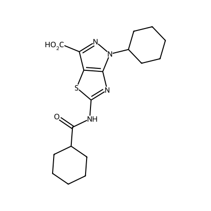 O=C(O)c1nn(C2CCCCC2)c2nc(NC(=O)C3CCCCC3)sc12